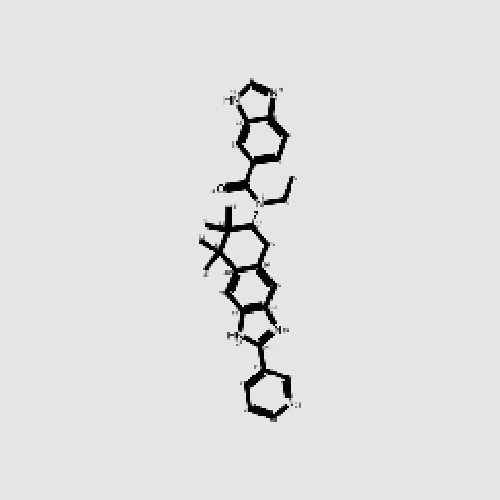 CCN(C(=O)c1ccc2nc[nH]c2c1)[C@@H]1Cc2cc3nc(-c4cccnc4)[nH]c3cc2C(C)(C)C1(C)C